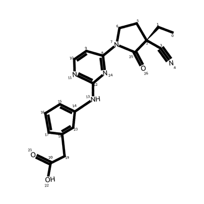 CC[C@]1(C#N)CCN(c2ccnc(Nc3cccc(CC(=O)O)c3)n2)C1=O